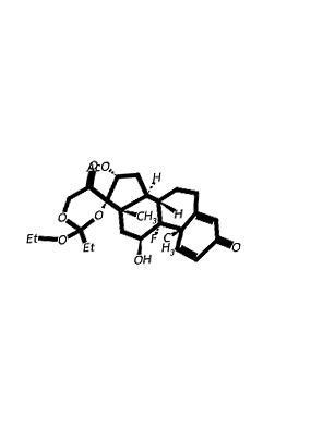 CCOC1(CC)OCC(=O)[C@@]2(O1)[C@H](OC(C)=O)C[C@H]1[C@@H]3CCC4=CC(=O)C=C[C@]4(C)[C@@]3(F)[C@@H](O)C[C@@]12C